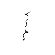 C=CCC(=O)OCCOC(=O)C(C)CC